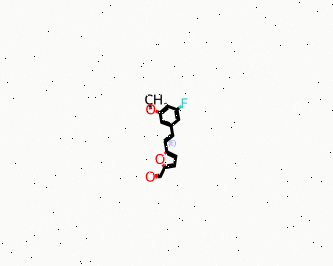 COc1cc(F)cc(/C=C/c2ccc(C=O)o2)c1